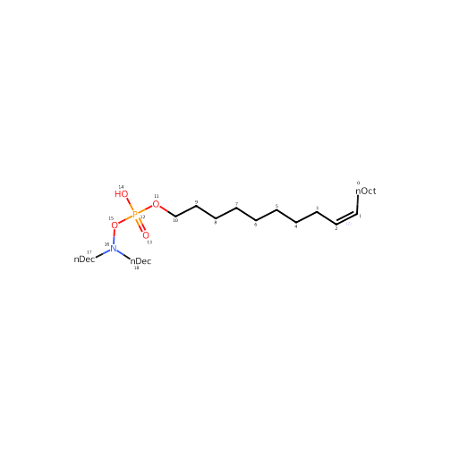 CCCCCCCC/C=C\CCCCCCCCOP(=O)(O)ON(CCCCCCCCCC)CCCCCCCCCC